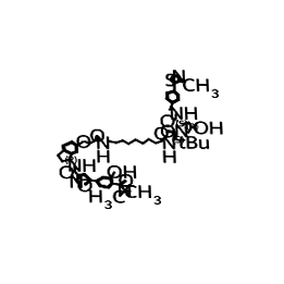 Cc1ncsc1-c1ccc(CNC(=O)[C@@H]2C[C@@H](O)CN2C(=O)[C@@H](NC(=O)CCCCCCCCNC(=O)COc2ccc3c(c2)[C@H](NC(=O)c2cc(-c4ccc(C(=O)N(C)C)c(O)c4)on2)CC3)C(C)(C)C)cc1